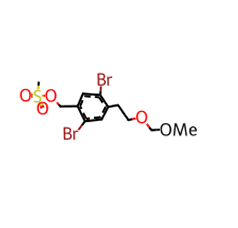 COCOCCc1cc(Br)c(COS(C)(=O)=O)cc1Br